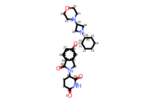 O=C1CCC(N2Cc3cc(O[C@H]4CCCC[C@H]4N4CC(N5CCOCC5)C4)ccc3C2=O)C(=O)N1